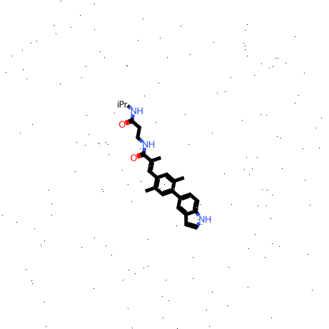 C/C(=C\c1cc(C)c(-c2ccc3[nH]ccc3c2)cc1C)C(=O)NCCC(=O)NC(C)C